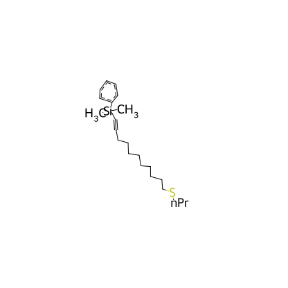 CCCSCCCCCCCCCC#C[Si](C)(C)c1ccccc1